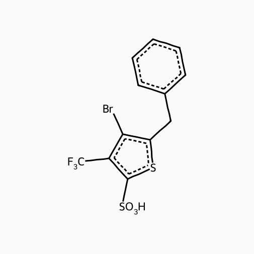 O=S(=O)(O)c1sc(Cc2ccccc2)c(Br)c1C(F)(F)F